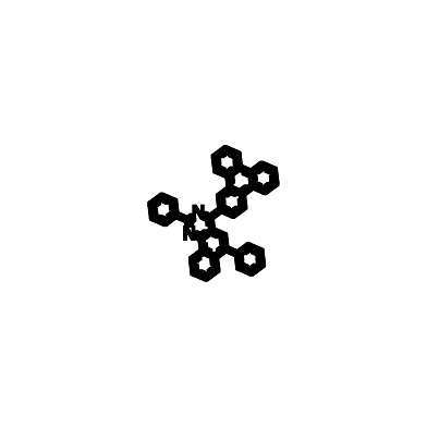 c1ccc(-c2nc(-c3ccc4c5ccccc5c5ccccc5c4c3)c3cc(-c4ccccc4)c4ccccc4c3n2)cc1